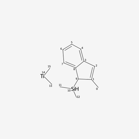 CC1=Cc2ccccc2C1[SiH](C)C.[CH3][Ti][CH3]